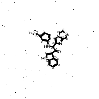 COc1cccc(NC(C(=O)c2c[nH]c3ccccc23)c2cn3c(n2)COCC3)c1